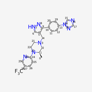 C[C@@H]1CN(Cc2c[nH]nc2-c2ccc(-n3cncn3)cc2)CCN1c1ccc(C(F)(F)F)cn1